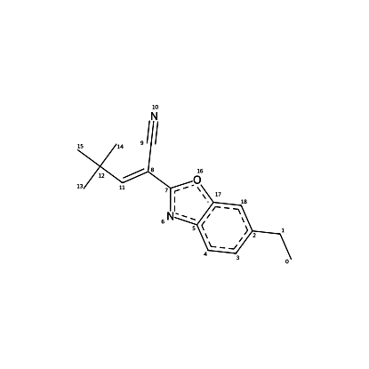 CCc1ccc2nc(/C(C#N)=C/C(C)(C)C)oc2c1